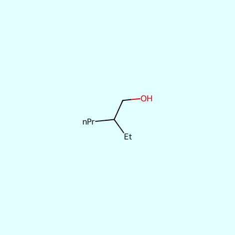 [CH2]CCC(CC)CO